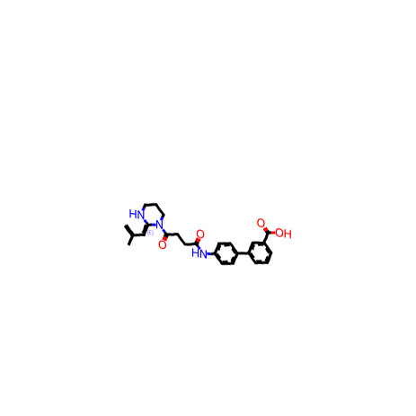 C=C(C)/C=C1\NCCCN1C(=O)CCC(=O)Nc1ccc(-c2cccc(C(=O)O)c2)cc1